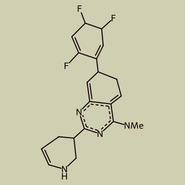 CNc1nc(C2CC=CNC2)nc2c1=CCC(C1=CC(F)C(F)C=C1F)C=2